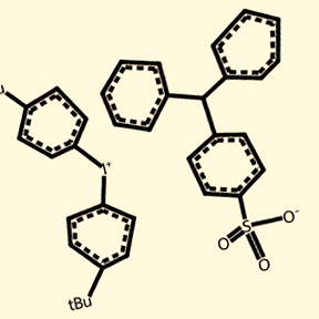 CC(C)(C)c1ccc([I+]c2ccc(C(C)(C)C)cc2)cc1.O=S(=O)([O-])c1ccc(C(c2ccccc2)c2ccccc2)cc1